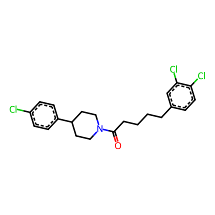 O=C(CCCCc1ccc(Cl)c(Cl)c1)N1CCC(c2ccc(Cl)cc2)CC1